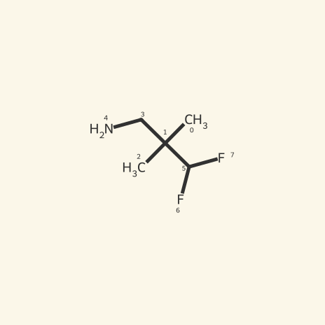 CC(C)(CN)C(F)F